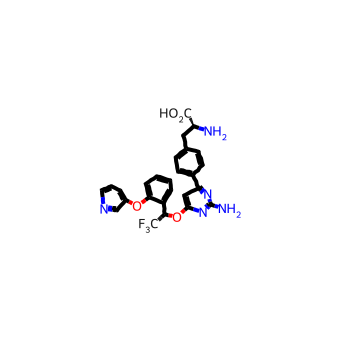 Nc1nc(OC(c2ccccc2Oc2cccnc2)C(F)(F)F)cc(-c2ccc(C[C@H](N)C(=O)O)cc2)n1